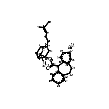 CC(C)=CCC[N+]12CCC(CC1)[C@@H](OC(=O)C1c3ccccc3CCc3ccccc31)C2.[Br-]